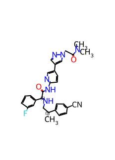 C[C@H](CN[C@H](C(=O)Nc1ccc(-c2cnn(CC(=O)N(C)C)c2)cn1)c1cccc(F)c1)c1ccc(C#N)cc1